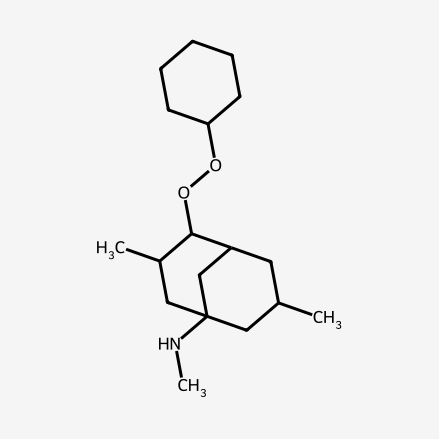 CNC12CC(C)CC(C1)C(OOC1CCCCC1)C(C)C2